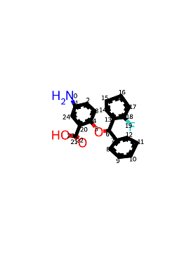 Nc1ccc(OC(c2ccccc2)c2ccccc2F)c(C(=O)O)c1